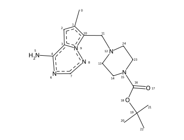 Cc1cc2c(N)ncnn2c1CN1CCN(C(=O)OC(C)(C)C)CC1